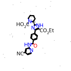 CCOC(=O)c1[nH]c([C@@H]2CCCCN2C(=O)O)nc1-c1ccc(C(=O)Nc2cc(C#N)ccn2)cc1